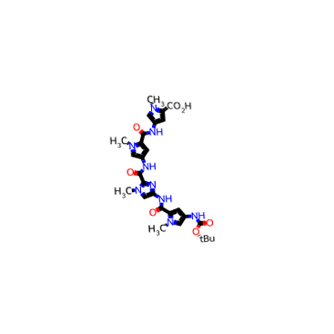 Cn1cc(NC(=O)c2cc(NC(=O)c3nc(NC(=O)c4cc(NC(=O)OC(C)(C)C)cn4C)cn3C)cn2C)cc1C(=O)O